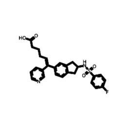 O=C(O)CCCC=C(c1cccnc1)c1ccc2c(c1)CC(NS(=O)(=O)c1ccc(F)cc1)C2